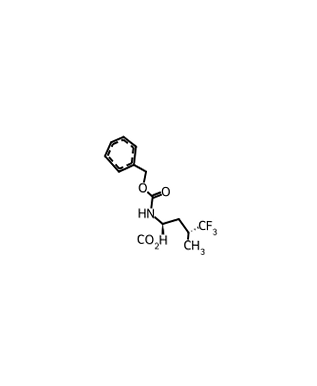 C[C@H](C[C@H](NC(=O)OCc1ccccc1)C(=O)O)C(F)(F)F